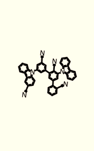 N#Cc1cc(-c2cc(-c3ccccc3C#N)cc(-n3c4ccccc4c4ccccc43)c2C#N)cc(-n2c3ccccc3c3cc(C#N)ccc32)c1